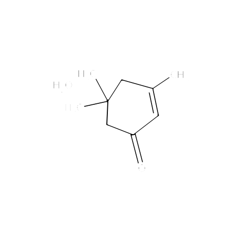 CC1=CC(=O)CC(C)(C)C1.O